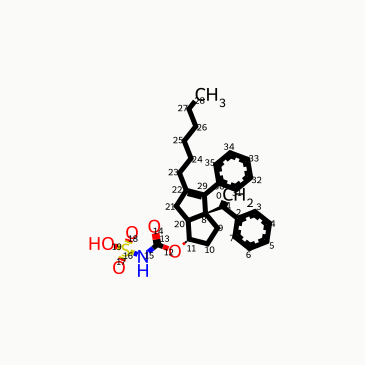 C=C(c1ccccc1)[C@@]12CC[C@H](OC(=O)NS(=O)(=O)O)C1CC(CCCCCC)=C2c1ccccc1